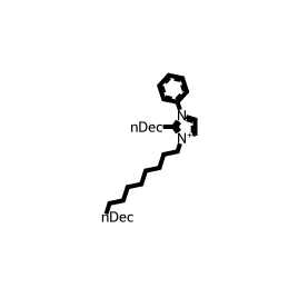 CCCCCCCCCCCCCCCCCC[n+]1ccn(-c2ccccc2)c1CCCCCCCCCC